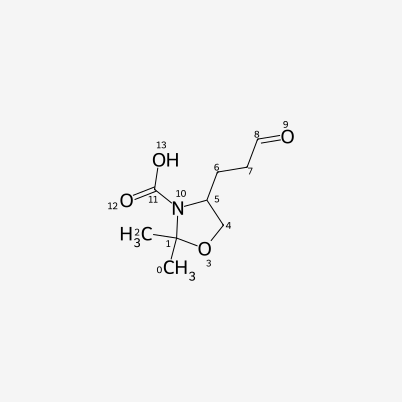 CC1(C)OCC(CCC=O)N1C(=O)O